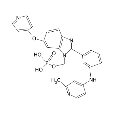 Cc1cc(Nc2cccc(-c3nc4ccc(Oc5ccncc5)cc4n3COP(=O)(O)O)c2)ccn1